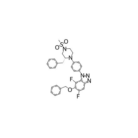 CS(=O)(=O)N1CCN(c2ccc(-n3nnc4cc(F)c(OCc5ccccc5)c(F)c43)cc2)[C@H](Cc2ccccc2)C1